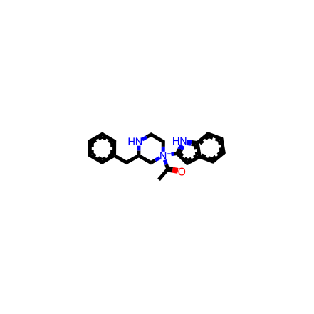 CC(=O)[N+]1(c2cc3ccccc3[nH]2)CCNC(Cc2ccccc2)C1